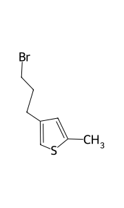 Cc1cc(CCCBr)cs1